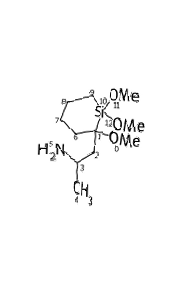 COC1(CC(C)N)CCCC[Si]1(OC)OC